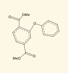 COC(=O)c1ccc(C(=O)OC)c(Oc2ccccc2)c1